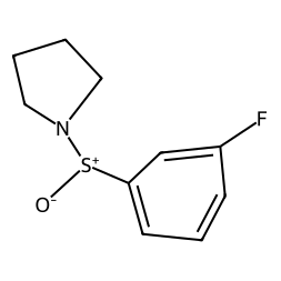 [O-][S+](c1cccc(F)c1)N1CCCC1